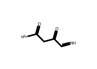 CCCC(=O)CC(=O)C=N